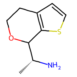 C[C@@H](N)C1OCCc2ccsc21